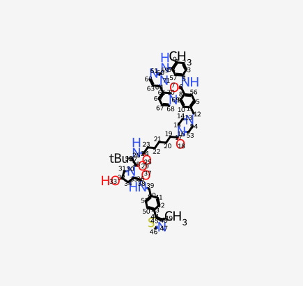 Cc1ccc(NC(=O)c2ccc(CN3CCN(C(=O)CCCCCC(=O)NC(C(=O)N4CC(O)CC4C(=O)NCc4ccc(-c5scnc5C)cc4)C(C)(C)C)CC3)cc2)cc1Nc1nccc(-c2cccnc2)n1